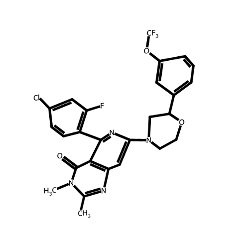 Cc1nc2cc(N3CCOC(c4cccc(OC(F)(F)F)c4)C3)nc(-c3ccc(Cl)cc3F)c2c(=O)n1C